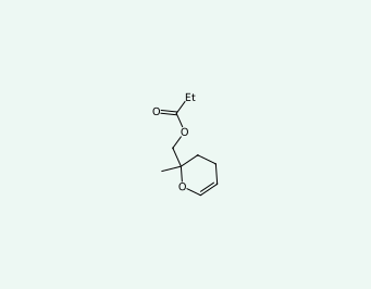 CCC(=O)OCC1(C)CCC=CO1